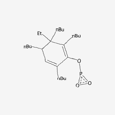 CCCCC1=CC(CCCC)C(CC)(CCCC)C(CCCC)=C1Op1oo1